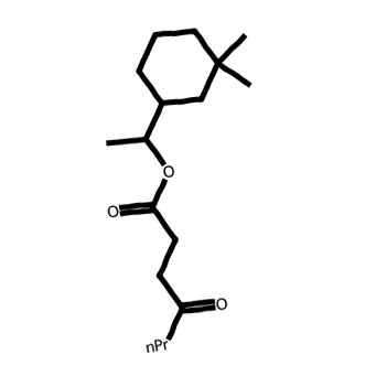 CCCC(=O)CCC(=O)OC(C)C1CCCC(C)(C)C1